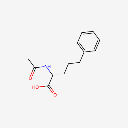 CC(=O)N[C@H](CCCc1ccccc1)C(=O)O